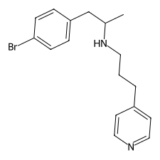 CC(Cc1ccc(Br)cc1)NCCCc1ccncc1